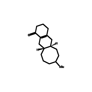 CCCCC1CCC[C@@H]2CC3=C(CCCC3=O)C[C@H]2CC1